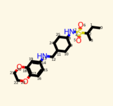 CCC(C)S(=O)(=O)NC1CCC(CNc2ccc3c(c2)OCCO3)CC1